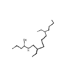 CCCCC(CCCC(CC)CNC(O)CCC)OC